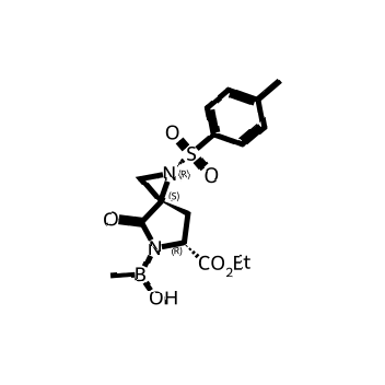 CCOC(=O)[C@H]1C[C@]2(C[N@]2S(=O)(=O)c2ccc(C)cc2)C(=O)N1B(C)O